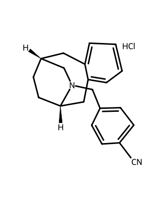 Cl.N#Cc1ccc(CN2C[C@@H]3CC[C@H]2Cc2ccccc2C3)cc1